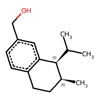 CC(C)[C@@H]1c2cc(CO)ccc2CC[C@@H]1C